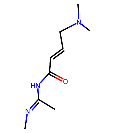 C/N=C(\C)NC(=O)/C=C/CN(C)C